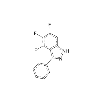 Fc1cc2[nH]nc(-c3ccccc3)c2c(F)c1F